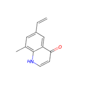 C=Cc1cc(C)c2[nH]ccc(=O)c2c1